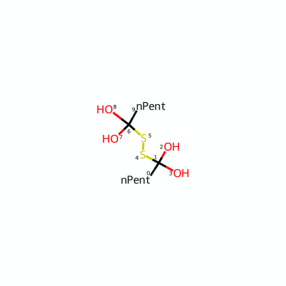 CCCCCC(O)(O)SSC(O)(O)CCCCC